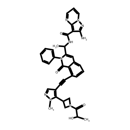 CC(O)C(=O)N1CC(c2c(C#Cc3cccc4cc(C(C)NC(=O)c5c(N)nn6cccnc56)n(-c5ccccc5)c(=O)c34)cnn2C)C1